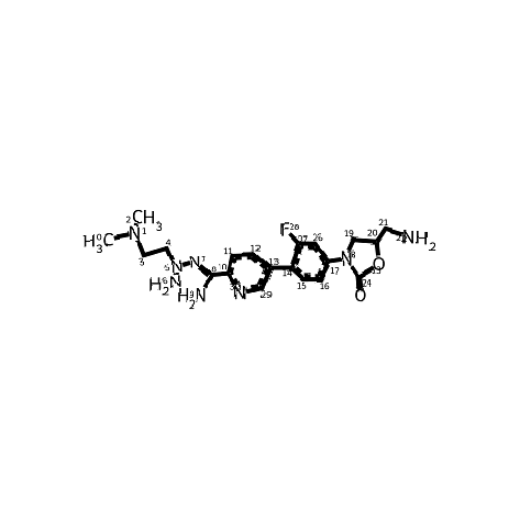 CN(C)CCN(N)/N=C(\N)c1ccc(-c2ccc(N3CC(CN)OC3=O)cc2F)cn1